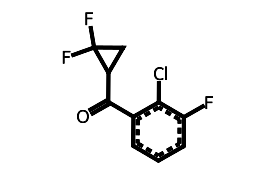 O=C(c1cccc(F)c1Cl)C1CC1(F)F